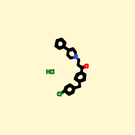 Cl.O=C(CCN1CC=C(c2ccccc2)CC1)c1ccc(Cc2ccc(Cl)cc2)cc1